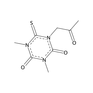 CC(=O)Cn1c(=O)n(C)c(=O)n(C)c1=S